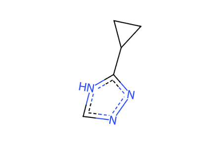 c1nnc(C2CC2)[nH]1